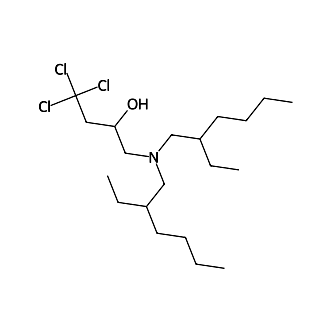 CCCCC(CC)CN(CC(O)CC(Cl)(Cl)Cl)CC(CC)CCCC